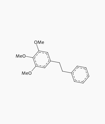 COc1cc(CCc2ccccc2)cc(OC)c1OC